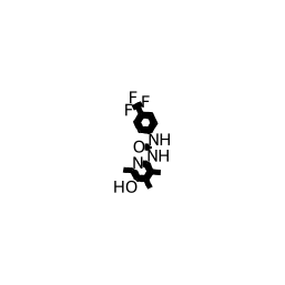 Cc1nc(NC(=O)Nc2ccc(C(F)(F)F)cc2)c(C)c(C)c1O